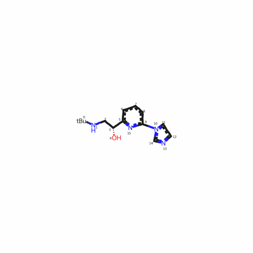 CC(C)(C)NC[C@@H](O)c1cccc(-n2ccnc2)n1